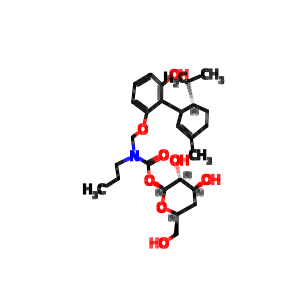 C=C(C)[C@@H]1CCC(C)=CC1c1c(O)cccc1OCN(CCC)C(=O)O[C@@H]1O[C@H](CO)C[C@H](O)[C@H]1O